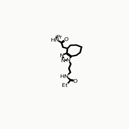 CCC(=O)NCCCn1nnc2c1CCCCCC2CC(=O)NC(C)C